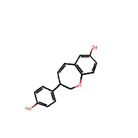 Oc1ccc(C2C=Cc3cc(O)ccc3OC2)cc1